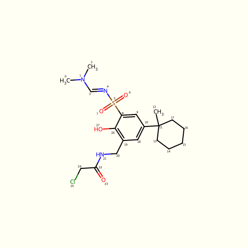 CN(C)C=NS(=O)(=O)c1cc(C2(C)CCCCC2)cc(CNC(=O)CCl)c1O